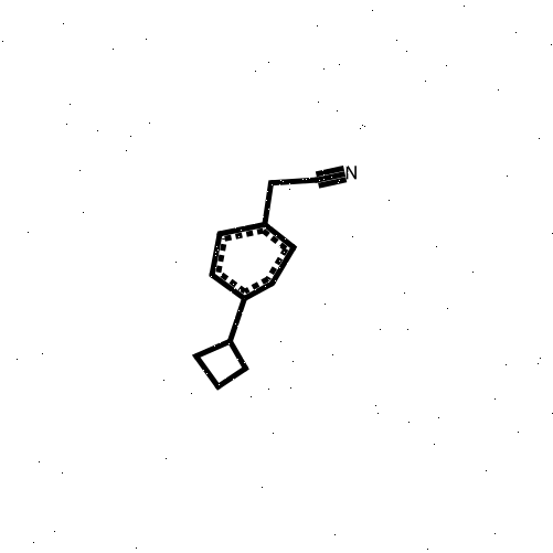 N#CCc1ccc(C2CCC2)cc1